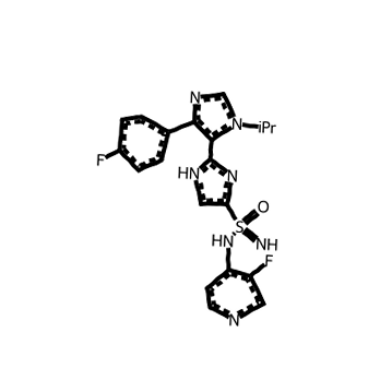 CC(C)n1cnc(-c2ccc(F)cc2)c1-c1nc(S(=N)(=O)Nc2ccncc2F)c[nH]1